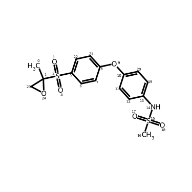 CC1(S(=O)(=O)c2ccc(Oc3ccc(NS(C)(=O)=O)cc3)cc2)CO1